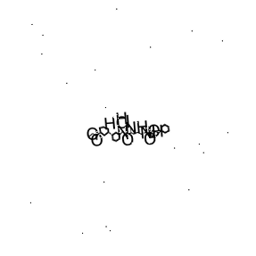 COC(=O)c1cccc(-c2cccc(NC(=O)[C@@H](N)CCCNC(=O)OCc3ccccc3)c2)c1.Cl